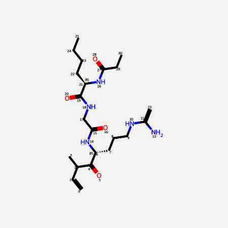 C=CC(C)C(=O)[C@@H](CCCNC(=C)N)NC(=O)CNC(=O)[C@@H](CCCC)NC(=O)CC